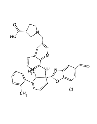 Cc1ccccc1C1=CC=CC(Nc2nccc3cc(CN4CC[C@@H](C(=O)O)C4)cnc23)(c2nc3cc(C=O)cc(Cl)c3o2)C1C